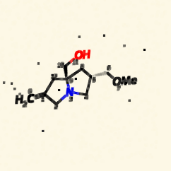 C=C1CN2C[C@@H](COC)C[C@@]2(CO)C1